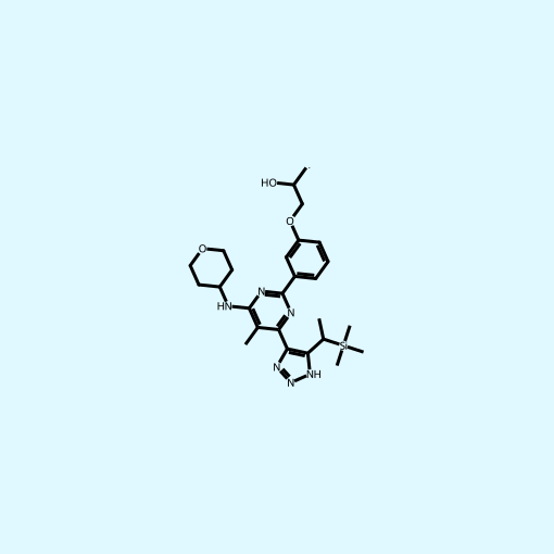 [CH2]C(O)COc1cccc(-c2nc(NC3CCOCC3)c(C)c(-c3nn[nH]c3C(C)[Si](C)(C)C)n2)c1